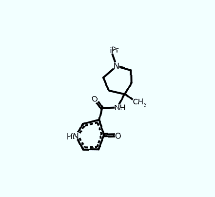 CC(C)N1CCC(C)(NC(=O)c2c[nH]ccc2=O)CC1